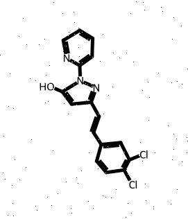 Oc1cc(C=Cc2ccc(Cl)c(Cl)c2)nn1-c1ccccn1